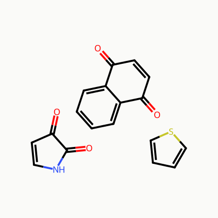 O=C1C=CC(=O)c2ccccc21.O=C1C=CNC1=O.c1ccsc1